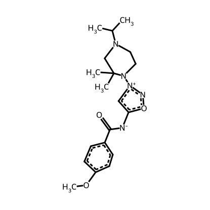 COc1ccc(C(=O)[N-]c2c[n+](N3CCN(C(C)C)CC3(C)C)no2)cc1